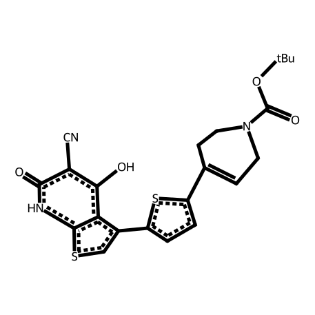 CC(C)(C)OC(=O)N1CC=C(c2ccc(-c3csc4[nH]c(=O)c(C#N)c(O)c34)s2)CC1